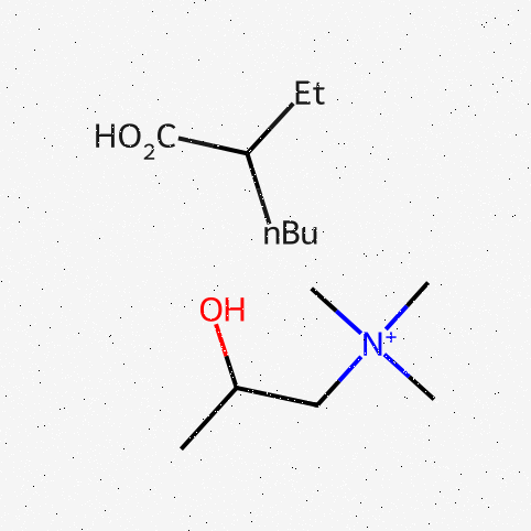 CC(O)C[N+](C)(C)C.CCCCC(CC)C(=O)O